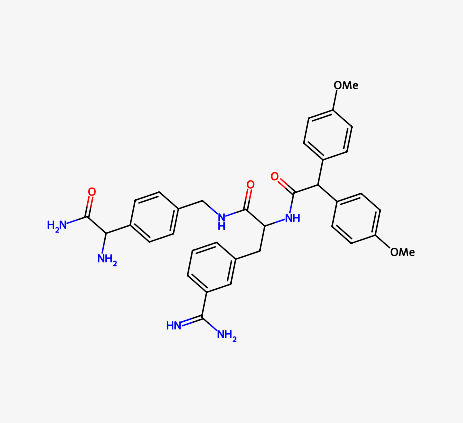 COc1ccc(C(C(=O)NC(Cc2cccc(C(=N)N)c2)C(=O)NCc2ccc(C(N)C(N)=O)cc2)c2ccc(OC)cc2)cc1